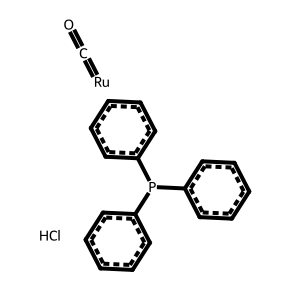 Cl.O=[C]=[Ru].c1ccc(P(c2ccccc2)c2ccccc2)cc1